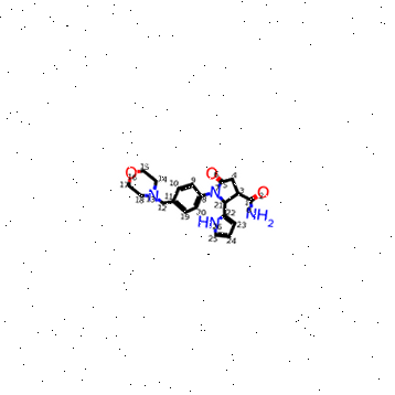 NC(=O)C1CC(=O)N(c2ccc(CN3CCOCC3)cc2)C1c1ccc[nH]1